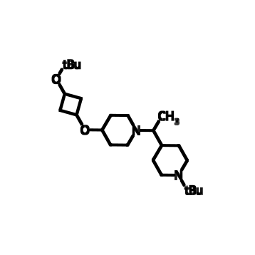 CC(C1CCN(C(C)(C)C)CC1)N1CCC(OC2CC(OC(C)(C)C)C2)CC1